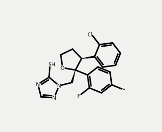 Fc1ccc([C@]2(Cn3ncnc3S)OCC[C@H]2c2ccccc2Cl)c(F)c1